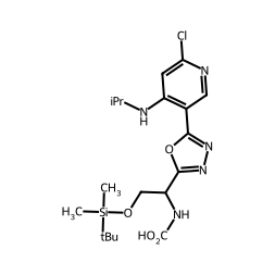 CC(C)Nc1cc(Cl)ncc1-c1nnc(C(CO[Si](C)(C)C(C)(C)C)NC(=O)O)o1